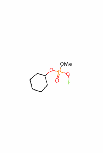 COP(=O)(OF)OC1CCCCC1